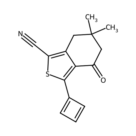 CC1(C)CC(=O)c2c(C3=CC=C3)sc(C#N)c2C1